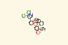 CC(C)c1c(Oc2ccc([O])c(C(C)C)c2-c2cccc3ccccc23)cccc1-c1cnc(Cl)c(Cl)c1